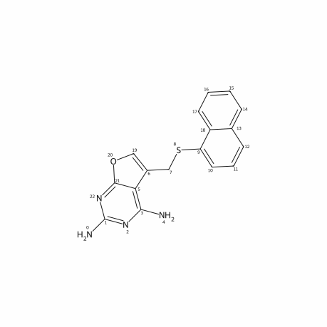 Nc1nc(N)c2c(CSc3cccc4ccccc34)coc2n1